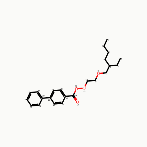 CCCCC(CC)COC[CH]OOC(=O)c1ccc(-c2ccccc2)cc1